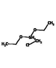 CCO[SiH2]OCC.CCl